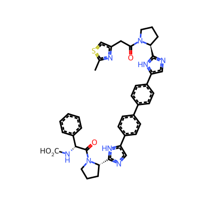 Cc1nc(CC(=O)N2CCC[C@H]2c2ncc(-c3ccc(-c4ccc(-c5cnc([C@@H]6CCCN6C(=O)[C@H](NC(=O)O)c6ccccc6)[nH]5)cc4)cc3)[nH]2)cs1